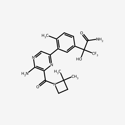 Cc1ccc(C(O)(C(N)=O)C(F)(F)F)cc1-c1cnc(N)c(C(=O)N2CCC2(C)C)n1